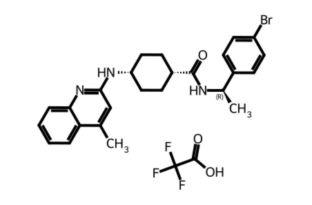 Cc1cc(N[C@H]2CC[C@@H](C(=O)N[C@H](C)c3ccc(Br)cc3)CC2)nc2ccccc12.O=C(O)C(F)(F)F